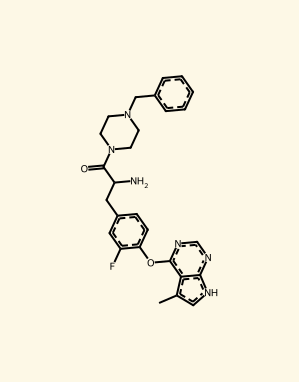 Cc1c[nH]c2ncnc(Oc3ccc(CC(N)C(=O)N4CCN(Cc5ccccc5)CC4)cc3F)c12